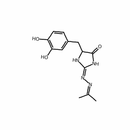 CC(C)=N/N=C1\NC(=O)C(Cc2ccc(O)c(O)c2)N1